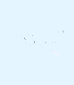 CCOC(=O)c1ccc(N2CCC(=O)/C(=C/N(C)C)C2)cc1